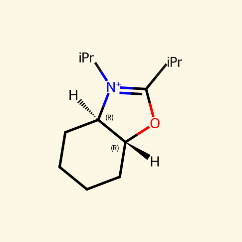 CC(C)C1=[N+](C(C)C)[C@@H]2CCCC[C@H]2O1